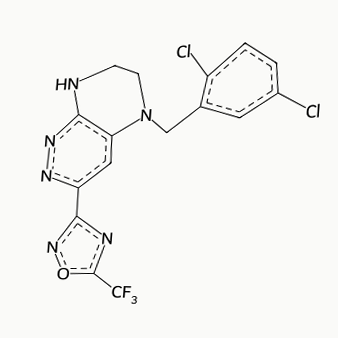 FC(F)(F)c1nc(-c2cc3c(nn2)NCCN3Cc2cc(Cl)ccc2Cl)no1